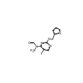 NN(C=O)c1nc(OCc2cccs2)ncc1F